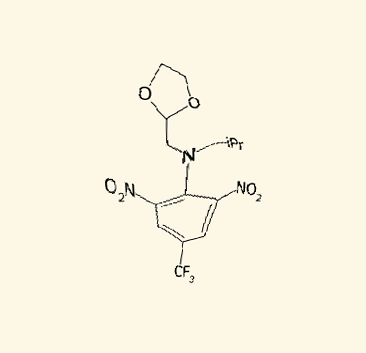 CC(C)N(CC1OCCO1)c1c([N+](=O)[O-])cc(C(F)(F)F)cc1[N+](=O)[O-]